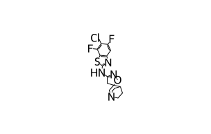 Fc1cc2nc(NC3=NOC4(C3)CN3CCC4CC3)sc2c(F)c1Cl